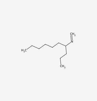 C=NC(CCC)CCCCCC